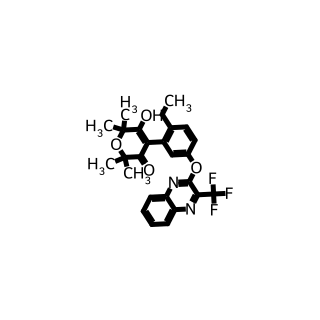 CCc1ccc(Oc2nc3ccccc3nc2C(F)(F)F)cc1C1=C(O)C(C)(C)OC(C)(C)C1=O